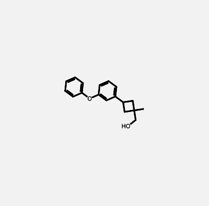 CC1(CO)CC(c2cccc(Oc3ccccc3)c2)C1